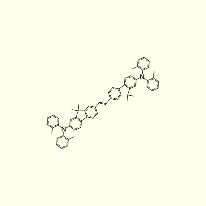 Cc1ccccc1N(c1ccc2c(c1)C(C)(C)c1cc(/C=C/c3ccc4c(c3)C(C)(C)c3cc(N(c5ccccc5C)c5ccccc5C)ccc3-4)ccc1-2)c1ccccc1C